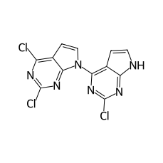 Clc1nc(-n2ccc3c(Cl)nc(Cl)nc32)c2cc[nH]c2n1